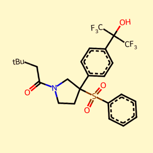 CC(C)(C)CC(=O)N1CCC(c2ccc(C(O)(C(F)(F)F)C(F)(F)F)cc2)(S(=O)(=O)c2ccccc2)C1